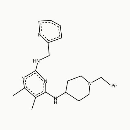 C[C](C)CN1CCC(Nc2nc(NCc3ccccn3)nc(C)c2C)CC1